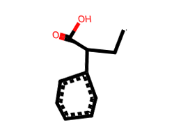 [CH2]CC(C(=O)O)c1ccccc1